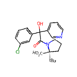 CC(C)(C)[C@@]1(C(=O)O)CCCN1C(=O)C(O)(c1cccnc1)c1cccc(Cl)c1